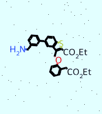 CCOC(=O)Cc1ccccc1OCc1c(C(=O)OCC)sc2ccc(-c3cccc(CN)c3)cc12